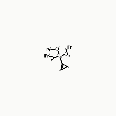 CC(C)O[Si](OC(C)C)(OC(C)C)C1=CC1